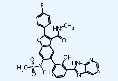 CNC(=O)c1c(-c2ccc(F)cc2)oc2cc(N(C)S(C)(=O)=O)c(-c3cccc(-c4nc5cncnc5[nH]4)c3O)cc12